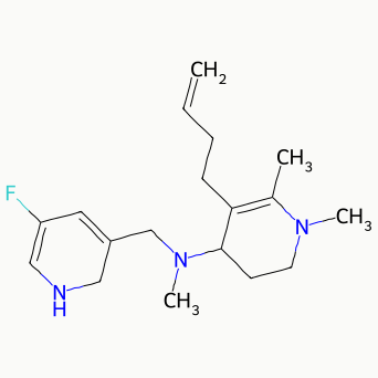 C=CCCC1=C(C)N(C)CCC1N(C)CC1=CC(F)=CNC1